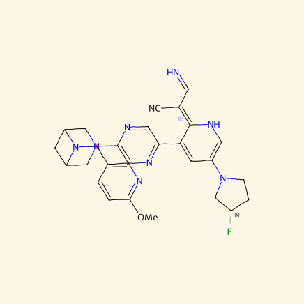 COc1ccc(CN2C3CC2CN(c2cnc(C4=CC(N5CC[C@H](F)C5)=CN/C4=C(/C#N)C=N)cn2)C3)cn1